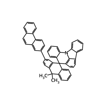 CC1(C)c2ccccc2C2(c3ccccc3-n3c4ccccc4c4cccc2c43)c2cc(-c3ccc4c(ccc5ccccc54)c3)ccc21